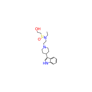 CCN(CCN1CCC(c2c[nH]c3ccccc23)CC1)[S+]([O-])CCO